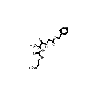 CCCCCCCCCCCCNC(=O)N[C@@H](C)C(=O)NCC(=O)OCc1ccccc1